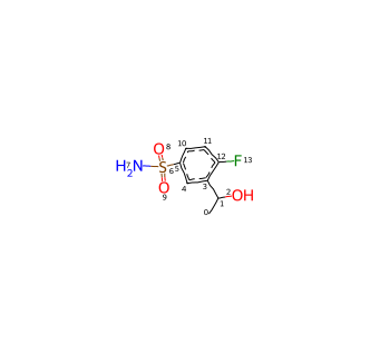 CC(O)c1cc(S(N)(=O)=O)ccc1F